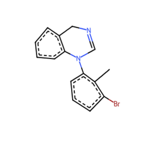 Cc1c(Br)cccc1N1C=NCc2ccccc21